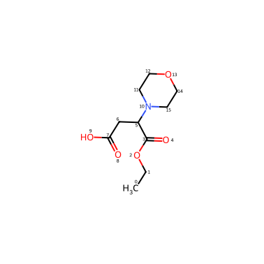 CCOC(=O)C(CC(=O)O)N1CCOCC1